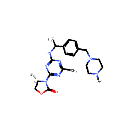 CC[C@H]1COC(=O)N1c1nc(C)nc(NC(C)c2ccc(CN3CCN(C(C)=O)CC3)cc2)n1